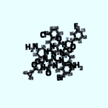 Cn1c2c(c(=O)n(CC(=O)c3cccc(F)c3)c1=O)N(Cc1ccccc1Cl)C(N1CCCC(N)C1)N2N1c2c(c(=O)n(CC(=O)C3CC3)c(=O)n2C)N(Cc2ccccc2Br)C1N1CCCC(N)C1